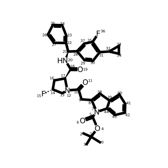 CC(C)(C)OC(=O)n1c(CC(=O)N2C[C@H](F)C[C@H]2C(=O)N[C@@H](c2ccccc2)c2ccc(C3CC3)c(F)c2)cc2ccccc21